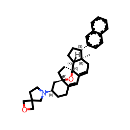 C[C@]12CC=C3C=C4CC[C@@H](N5CCC6(COC6)C5)C[C@]45CC[C@]3(O5)[C@@H]1CC[C@@H]2c1ccc2ccccc2c1